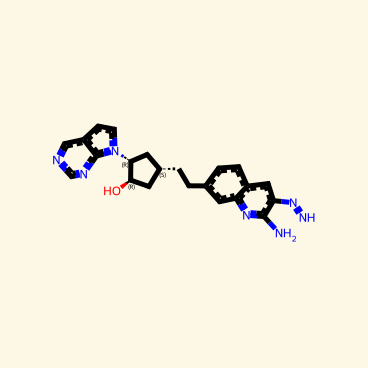 N=Nc1cc2ccc(CC[C@@H]3C[C@@H](O)[C@H](n4ccc5cncnc54)C3)cc2nc1N